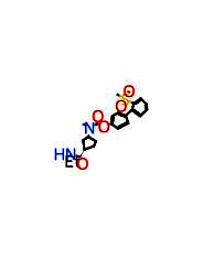 CCNC(=O)[C@H]1CC[C@@H](N(C)C(=O)Oc2ccc(-c3ccccc3S(C)(=O)=O)cc2)C1